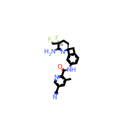 Cc1cc(C#N)cnc1C(=O)Nc1ccc2c(c1)[C@@]1(CC[C@@](F)(CF)C(N)=N1)C2